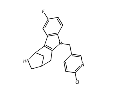 Fc1ccc2c(c1)c1c(n2Cc2ccc(Cl)nc2)CC2CNC1C2